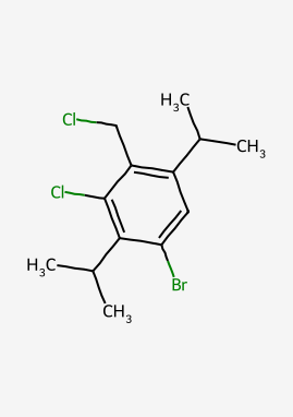 CC(C)c1cc(Br)c(C(C)C)c(Cl)c1CCl